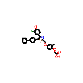 COc1ccc(-c2nc(COc3ccc(OCC(=O)O)c(C)c3)sc2-c2ccc(-c3ccccc3)cc2)cc1F